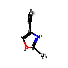 C#Cc1coc(C)n1